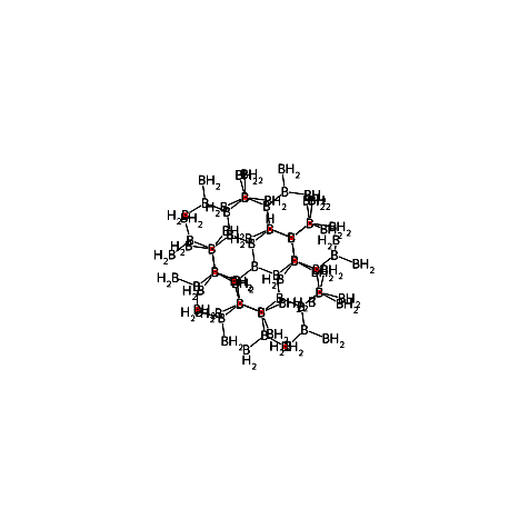 BBB(B(B)B)B(B(B(B)B)B(B)B)B(B(B(B(B)B)B(B)B)B(B(B)B)B(B)B)B(B(B(B(B)B)B(B)B)B(B(B)B)B(B)B)B(B(B(B(B)B)B(B)B)B(B(B)B)B(B)B)B(B(B(B)B)B(B)B)B(B(B)B)B(B)B